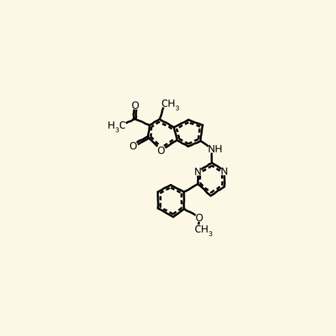 COc1ccccc1-c1ccnc(Nc2ccc3c(C)c(C(C)=O)c(=O)oc3c2)n1